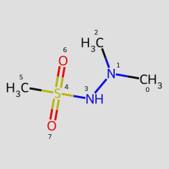 CN(C)NS(C)(=O)=O